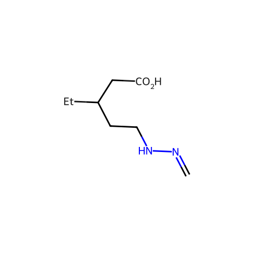 C=NNCCC(CC)CC(=O)O